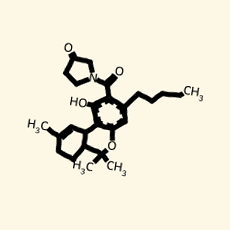 CCCCCc1cc2c(c(O)c1C(=O)N1CCC(=O)C1)C1C=C(C)CCC1C(C)(C)O2